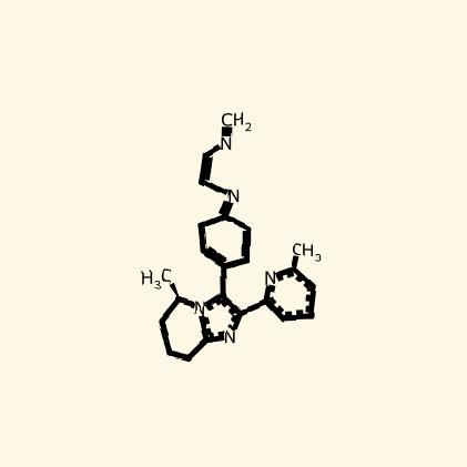 C=N/C=C\N=C1\C=CC(c2c(-c3cccc(C)n3)nc3n2[C@H](C)CCC3)=CC1